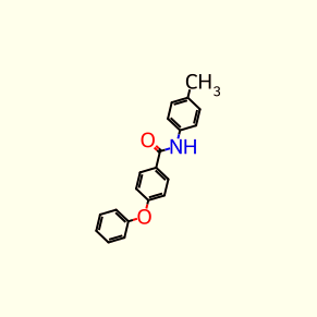 Cc1ccc(NC(=O)c2ccc(Oc3ccccc3)cc2)cc1